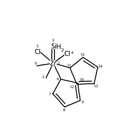 [CH3][Zr]([CH3])(=[SiH2])([Cl])([Cl])([CH]1C=CC=C1)[CH]1C=CC=C1